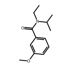 CCN(C(=O)c1cccc(OC)c1)C(C)C